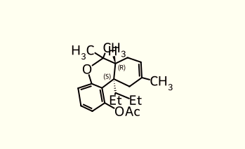 CCC(CC)[C@@]12CC(C)=CC[C@H]1C(C)(C)Oc1cccc(OC(C)=O)c12